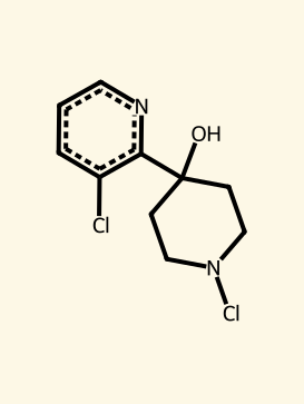 OC1(c2ncccc2Cl)CCN(Cl)CC1